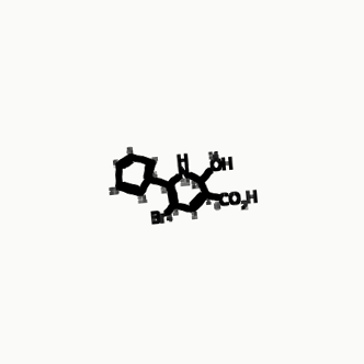 O=C(O)C1=CC(Br)=C(c2ccccc2)NC1O